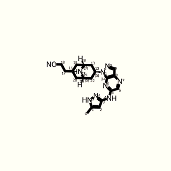 Cc1cc(Nc2cnc3cnn([C@@H]4C[C@H]5CC(CCC#N)C[C@@H](C4)N5)c3n2)n[nH]1